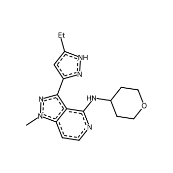 CCc1cc(-c2nn(C)c3ccnc(NC4CCOCC4)c23)n[nH]1